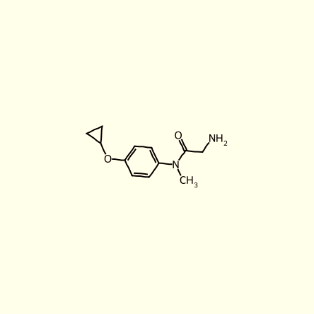 CN(C(=O)CN)c1ccc(OC2CC2)cc1